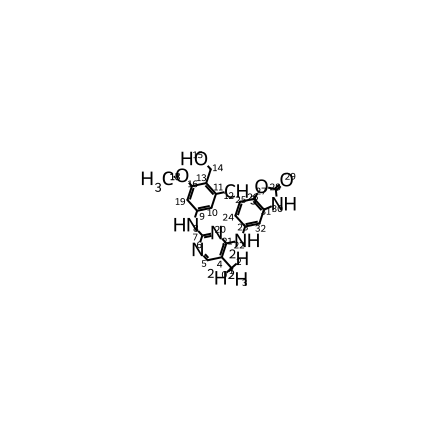 [2H]C([2H])([2H])c1cnc(Nc2cc(C)c(CO)c(OC)c2)nc1Nc1ccc2oc(=O)[nH]c2c1